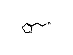 CCCCCC1=CSCS1